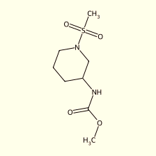 COC(=O)NC1CCCN(S(C)(=O)=O)C1